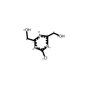 OCc1nc(Cl)nc(CO)n1